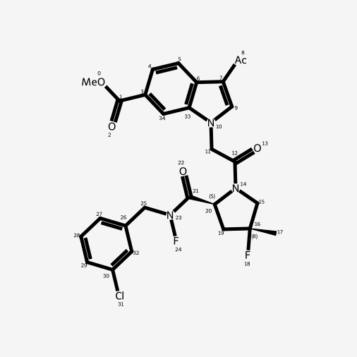 COC(=O)c1ccc2c(C(C)=O)cn(CC(=O)N3C[C@](C)(F)C[C@H]3C(=O)N(F)Cc3cccc(Cl)c3)c2c1